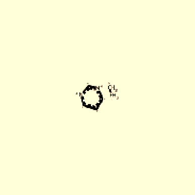 CP.c1cncnc1